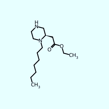 CCCCCCCN1CCNC[C@H]1CC(=O)OCC